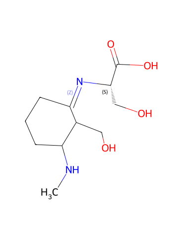 CNC1CCC/C(=N/[C@@H](CO)C(=O)O)C1CO